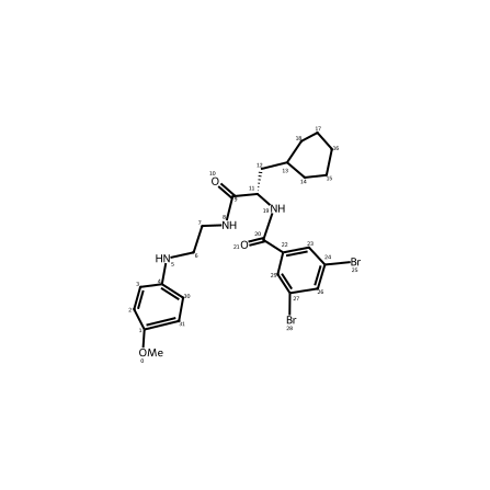 COc1ccc(NCCNC(=O)[C@H](CC2CCCCC2)NC(=O)c2cc(Br)cc(Br)c2)cc1